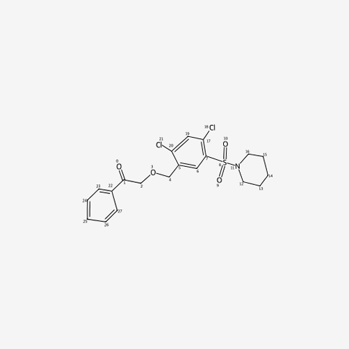 O=C(COCc1cc(S(=O)(=O)N2CCCCC2)c(Cl)cc1Cl)c1ccccc1